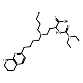 CCN(CC)C(=O)NC(CCN(CCCF)CCCCc1ccc2c(n1)NCCC2)C(=O)O